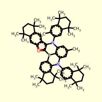 Cc1cc2c3c(c1)N(c1cc4c(cc1C)C(C)(C)CCC4(C)C)c1c(oc4cc5c(cc14)C(C)(C)CCC5(C)C)B3c1ccc3c(c1N2c1ccc2c(c1)C(C)(C)CCC2(C)C)C(C)(C)CCC3(C)C